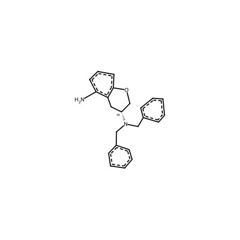 Nc1cccc2c1C[C@@H](N(Cc1ccccc1)Cc1ccccc1)CO2